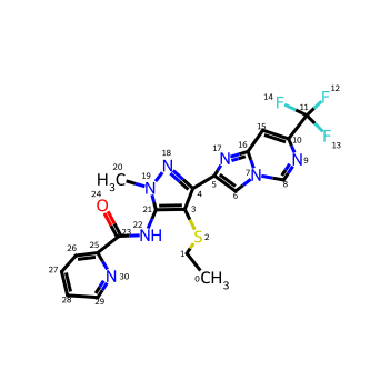 CCSc1c(-c2cn3cnc(C(F)(F)F)cc3n2)nn(C)c1NC(=O)c1ccccn1